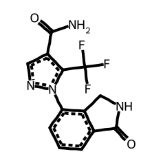 NC(=O)c1cnn(-c2cccc3c2CNC3=O)c1C(F)(F)F